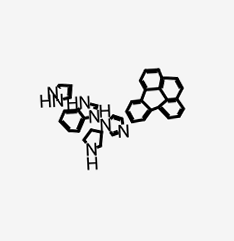 C1CCNC1.c1c[nH]cn1.c1ccc2[nH]cnc2c1.c1ccc2c(c1)c1cccc3ccc4cccc2c4c31.c1cn[nH]c1